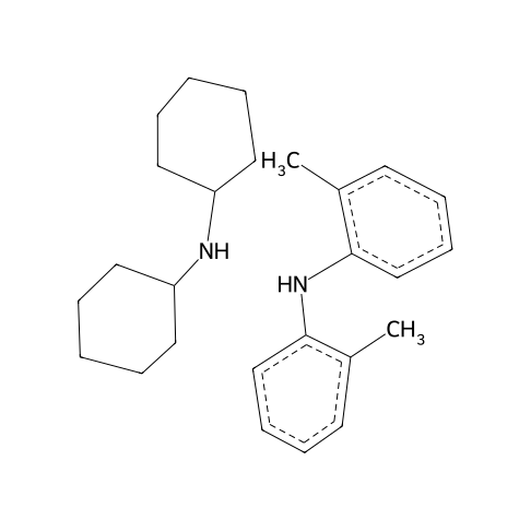 C1CCC(NC2CCCCC2)CC1.Cc1ccccc1Nc1ccccc1C